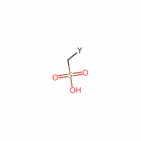 O=S(=O)(O)[CH2][Y]